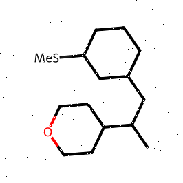 CSC1CCCC(CC(C)C2CCOCC2)C1